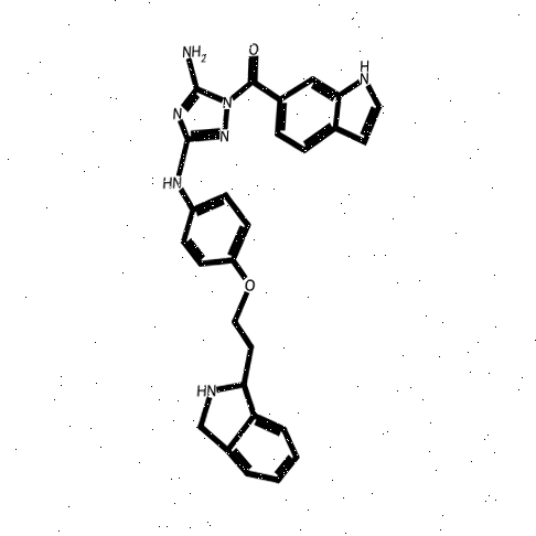 Nc1nc(Nc2ccc(OCCC3NCc4ccccc43)cc2)nn1C(=O)c1ccc2cc[nH]c2c1